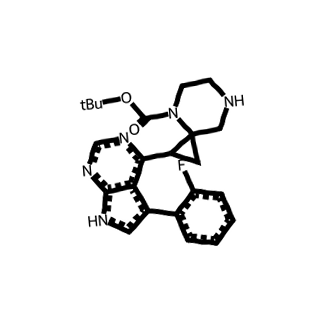 CC(C)(C)OC(=O)N1CCNCC12CC2c1ncnc2[nH]cc(-c3ccccc3F)c12